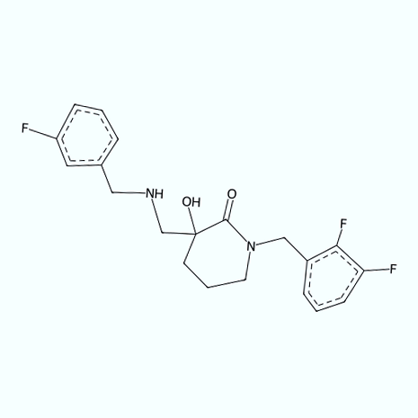 O=C1N(Cc2cccc(F)c2F)CCCC1(O)CNCc1cccc(F)c1